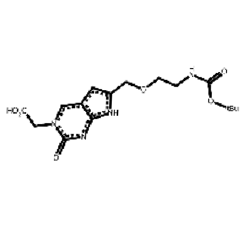 CC(C)(C)OC(=O)NCCOCc1cc2cn(CC(=O)O)c(=O)nc2[nH]1